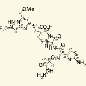 COCC1=CC(SCC2(C(=O)O)CS[C@@H]3C(NC(=O)C(=NOC(C)(C)C(=O)NN)c4csc(N)n4)C(=O)N3C2)=NC2=CN(C(F)(F)F)NN12